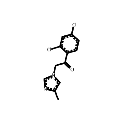 Cc1cn(CC(=O)c2ccc(Cl)cc2Cl)cn1